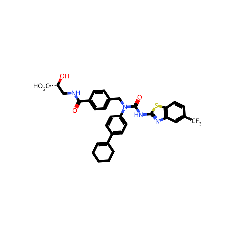 O=C(NC[C@@H](O)C(=O)O)c1ccc(CN(C(=O)Nc2nc3cc(C(F)(F)F)ccc3s2)c2ccc(C3=CCCCC3)cc2)cc1